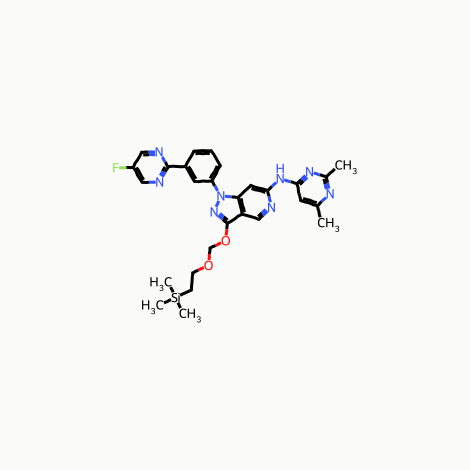 Cc1cc(Nc2cc3c(cn2)c(OCOCC[Si](C)(C)C)nn3-c2cccc(-c3ncc(F)cn3)c2)nc(C)n1